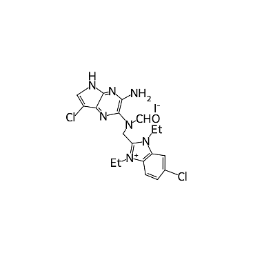 CCn1c(CN(C=O)c2nc3c(Cl)c[nH]c3nc2N)[n+](CC)c2ccc(Cl)cc21.[I-]